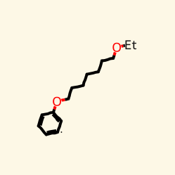 CCOCCCCCCCOc1c[c]ccc1